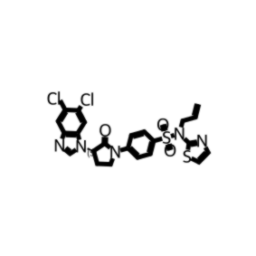 C=CCN(c1nccs1)S(=O)(=O)c1ccc(N2CC[C@H](n3cnc4cc(Cl)c(Cl)cc43)C2=O)cc1